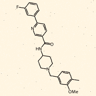 COc1cc(CN2CCC(NC(=O)c3ccc(-c4cccc(F)c4)nc3)CC2)ccc1C